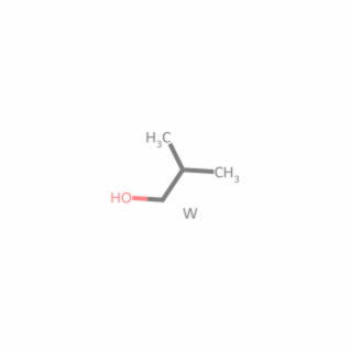 CC(C)CO.[W]